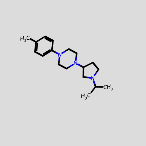 Cc1ccc(N2CCN(C3CCN(C(C)C)C3)CC2)cc1